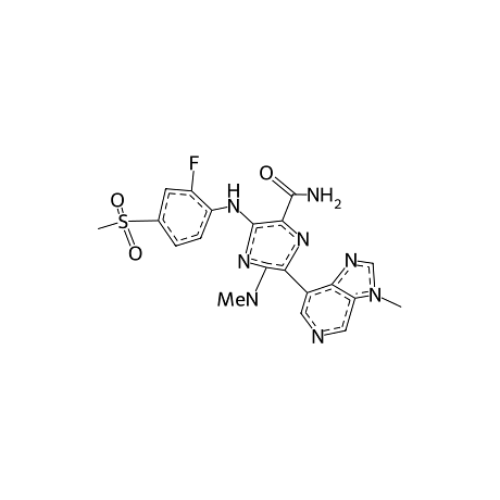 CNc1nc(Nc2ccc(S(C)(=O)=O)cc2F)c(C(N)=O)nc1-c1cncc2c1ncn2C